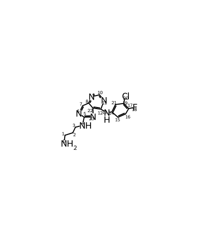 NCCCNc1ncc2ncnc(Nc3ccc(F)c(Cl)c3)c2n1